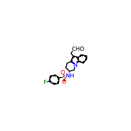 O=CCc1c2n(c3ccccc13)C[C@H](NS(=O)(=O)c1ccc(F)cc1)CC2